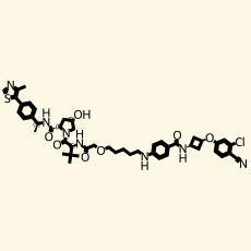 Cc1ncsc1-c1ccc([C@H](C)NC(=O)[C@@H]2C[C@@H](O)CN2C(=O)[C@@H](NC(=O)COCCCCCNc2ccc(C(=O)N[C@H]3C[C@H](Oc4ccc(C#N)c(Cl)c4)C3)cc2)C(C)(C)C)cc1